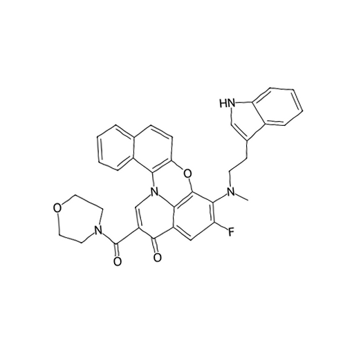 CN(CCc1c[nH]c2ccccc12)c1c(F)cc2c(=O)c(C(=O)N3CCOCC3)cn3c2c1Oc1ccc2ccccc2c1-3